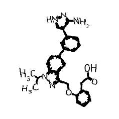 CC(C)n1nc(COc2ccccc2CC(=O)O)c2cc(-c3cccc(-c4c[nH]nc4N)c3)ccc21